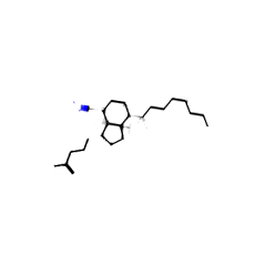 C=C(C)CCC[C@H]1CC[C@H]2[C@H]([C@H](C)CCC[C@H](C)CCC)[C@@H](C)C[C@H](C#N)[C@]12C